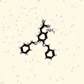 Nc1cc(OCc2ccccc2)c(OCc2ccccc2)cc1C=C(Br)Br